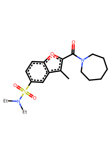 CCN(CC)S(=O)(=O)c1ccc2oc(C(=O)N3CCCCCC3)c(C)c2c1